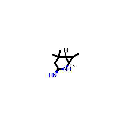 CC1[C@H]2C(C)(C)CC(=N)N[C@]12C